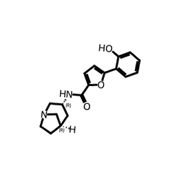 O=C(N[C@@H]1C[C@H]2CCN(C2)C1)c1ccc(-c2ccccc2O)o1